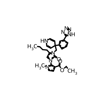 CCCCc1cn(-c2c(C(=O)OCC)ccn2C)c(=O)n1CC1(c2cccc(-c3nnn[nH]3)c2)C=CNC=C1